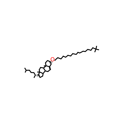 CC(C)CCCC(C)[C@H]1CCC2C3CC=C4C[C@@H](OCCCCCCCCCCCCCCCCC(C)(C)C)CCC4(C)C3CCC21C